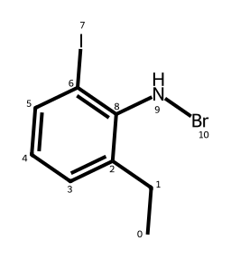 CCc1cccc(I)c1NBr